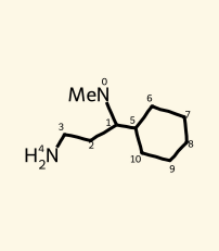 CNC(CCN)C1CCCCC1